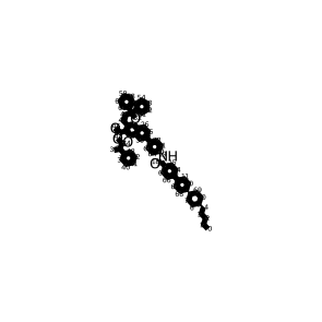 CCCCC[C@H]1CC[C@H](c2ccc(-c3ccc(C(=O)Nc4ccc(-c5ccc6c7c(c8c(c6c5)OC(C(C)c5ccccc5)OC8=O)C=CC(c5ccccc5)(c5ccccc5)O7)cc4)cc3)cc2)CC1